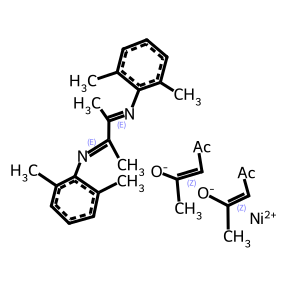 CC(=N\c1c(C)cccc1C)/C(C)=N/c1c(C)cccc1C.CC(=O)/C=C(/C)[O-].CC(=O)/C=C(/C)[O-].[Ni+2]